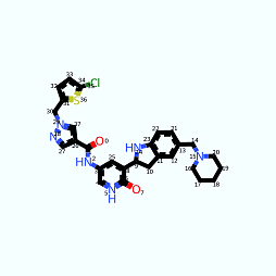 O=C(Nc1c[nH]c(=O)c(C2Cc3cc(CN4CCCCC4)ccc3N2)c1)c1cnn(Cc2ccc(Cl)s2)c1